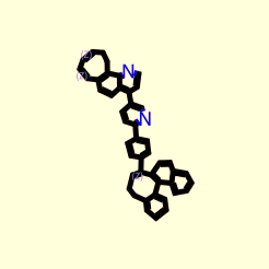 C1=C\CCc2c(ccc3c(-c4ccc(-c5ccc(/C6=C/CCc7ccccc7-c7c6ccc6ccccc76)cc5)nc4)ccnc23)\C=C/1